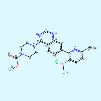 CC(=O)Nc1ccc(OC(F)(F)F)c(-c2cc3ncnc(N4CCN(C(=O)OC(C)(C)C)CC4)c3cc2Cl)n1